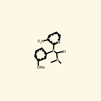 CCC(N(C)C)N(c1cccc(OC)c1)c1ncccc1[N+](=O)[O-]